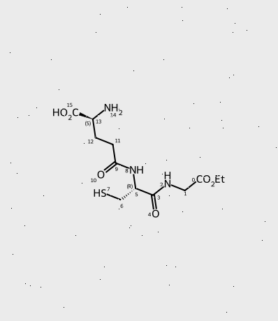 CCOC(=O)CNC(=O)[C@H](CS)NC(=O)CC[C@H](N)C(=O)O